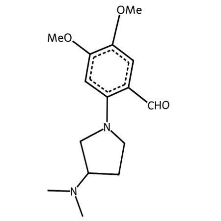 COc1cc(C=O)c(N2CCC(N(C)C)C2)cc1OC